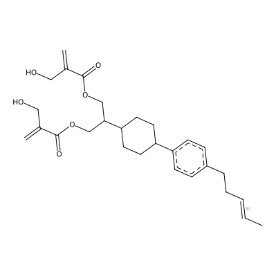 C=C(CO)C(=O)OCC(COC(=O)C(=C)CO)C1CCC(c2ccc(CC/C=C/C)cc2)CC1